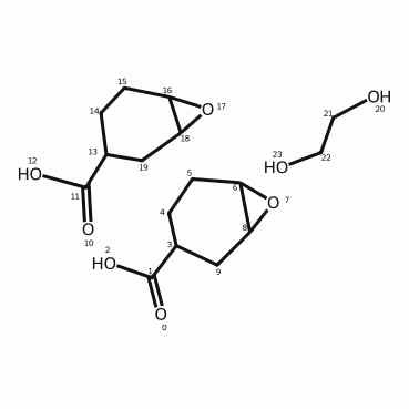 O=C(O)C1CCC2OC2C1.O=C(O)C1CCC2OC2C1.OCCO